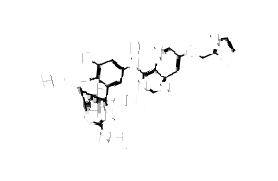 C[C@H]1[C@@H]2[C@@]1(C(F)F)SC(N)=N[C@]2(C)c1cc(Nc2ncnc3cc(OCc4ncco4)cnc23)cc(F)c1F